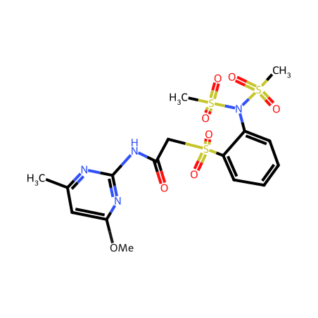 COc1cc(C)nc(NC(=O)CS(=O)(=O)c2ccccc2N(S(C)(=O)=O)S(C)(=O)=O)n1